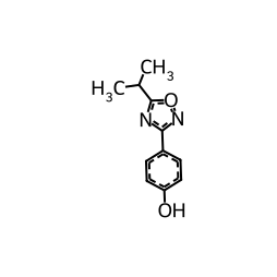 CC(C)c1nc(-c2ccc(O)cc2)no1